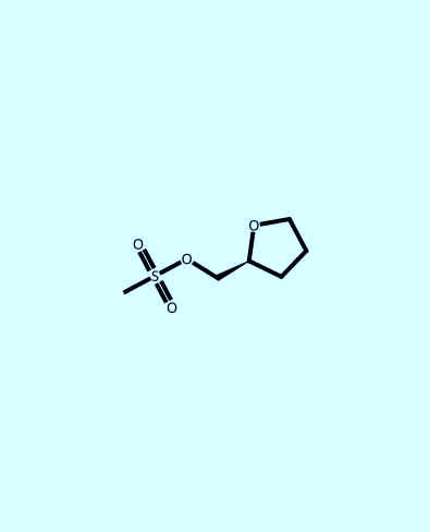 CS(=O)(=O)OC[C@@H]1CCCO1